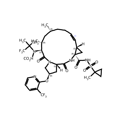 C[C@@H]1CC/C=C\[C@@H]2C[C@@]2(C(=O)NS(=O)(=O)C2(C)CC2)NC(=O)[C@@H]2C[C@@H](Oc3ncccc3C(F)(F)F)CN2C(=O)[C@@H](N(C(=O)O)C(C)(C)C(F)(F)F)[C@H](C)C1